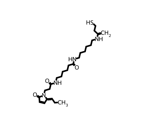 C=C(CCS)NCCCCCCNC(=O)CCCCCNC(=O)CCN1C(=O)C=C/C1=C\CC